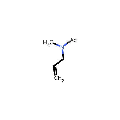 [CH2]C(=O)N(C)CC=C